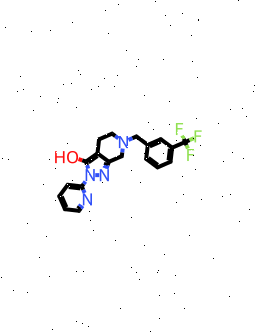 Oc1c2c(nn1-c1ccccn1)CN(Cc1cccc(C(F)(F)F)c1)CC2